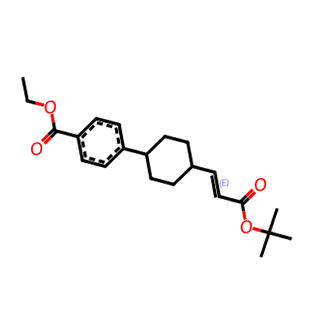 CCOC(=O)c1ccc(C2CCC(/C=C/C(=O)OC(C)(C)C)CC2)cc1